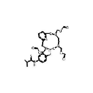 CC(C)C(=S)Nc1ccc(C[C@H]2CN(COC=O)CCN(COC=O)Cc3cccc(n3)CN2COC=O)cc1